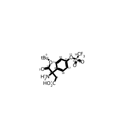 CC(C)(C)OC(=O)C(N)(CC(=O)O)c1ccc(OS(=O)(=O)C(F)(F)F)cc1